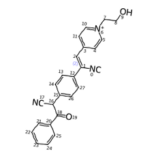 [C-]#[N+]/C(=C\c1cc[n+](CCO)cc1)c1ccc(C(C#N)C(=O)c2ccccc2)cc1